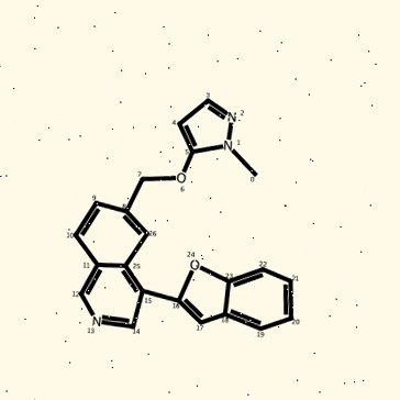 Cn1nccc1OCc1ccc2cncc(-c3cc4ccccc4o3)c2c1